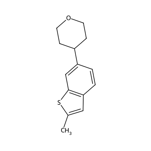 Cc1cc2ccc(C3CCOCC3)cc2s1